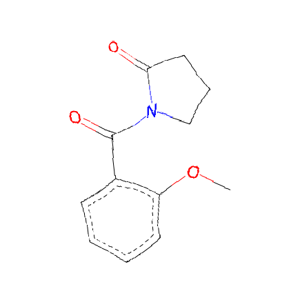 COc1ccccc1C(=O)N1CCCC1=O